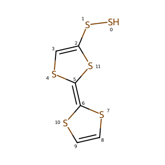 SSC1=CSC(=C2SC=CS2)S1